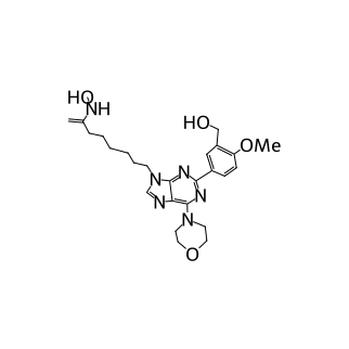 C=C(CCCCCCn1cnc2c(N3CCOCC3)nc(-c3ccc(OC)c(CO)c3)nc21)NO